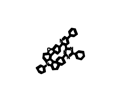 C1=CC(c2nc(-c3ccccc3)nc(-c3cc(-c4ccccc4)cnc3-c3ccc4c(c3)oc3ccc5c(c6ccccc6n5-c5ccccc5)c34)n2)=CCC1